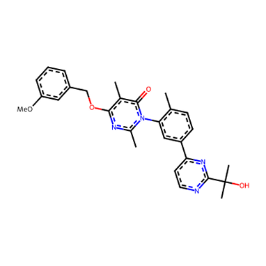 COc1cccc(COc2nc(C)n(-c3cc(-c4ccnc(C(C)(C)O)n4)ccc3C)c(=O)c2C)c1